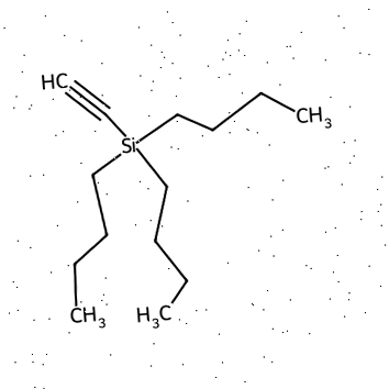 C#C[Si](CCCC)(CCCC)CCCC